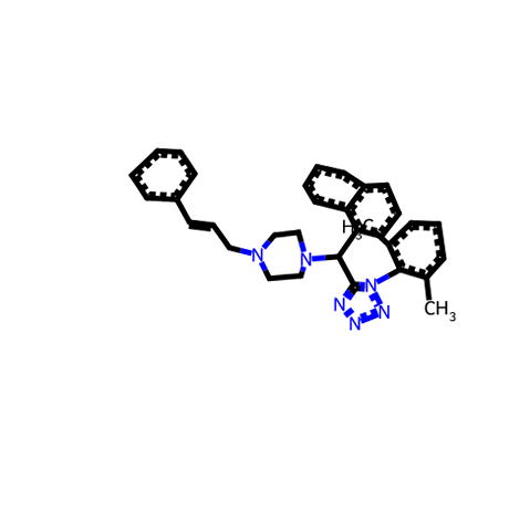 Cc1cccc(C)c1-n1nnnc1C(c1cccc2ccccc12)N1CCN(CC=Cc2ccccc2)CC1